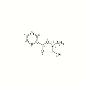 CC(C)C[SiH](C)OC(=O)c1ccccc1